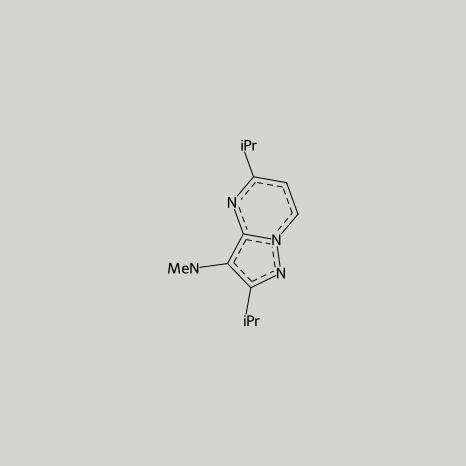 CNc1c(C(C)C)nn2ccc(C(C)C)nc12